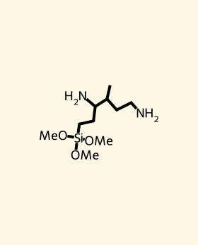 CO[Si](CCC(N)C(C)CCN)(OC)OC